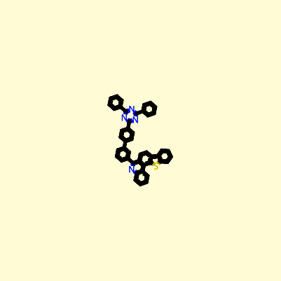 c1ccc(-c2nc(-c3ccccc3)nc(-c3ccc(-c4cccc(-c5nc6ccccc6c6c5ccc5c7ccccc7sc56)c4)cc3)n2)cc1